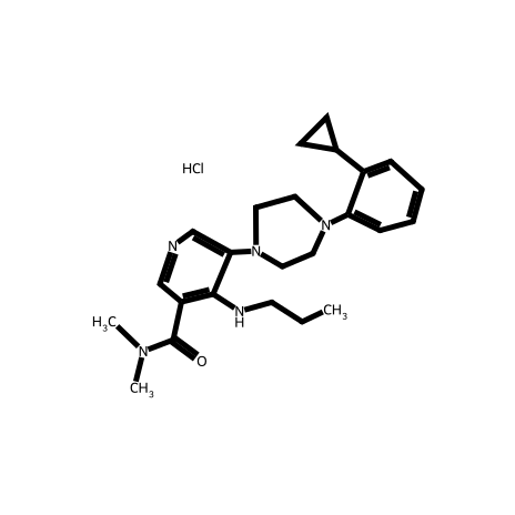 CCCNc1c(C(=O)N(C)C)cncc1N1CCN(c2ccccc2C2CC2)CC1.Cl